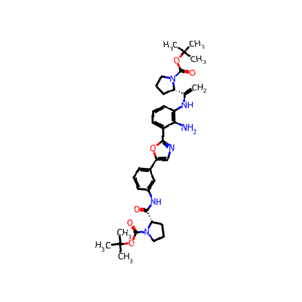 C=C(Nc1cccc(-c2ncc(-c3cccc(NC(=O)[C@@H]4CCCN4C(=O)OC(C)(C)C)c3)o2)c1N)[C@@H]1CCCN1C(=O)OC(C)(C)C